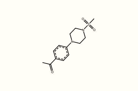 CC(=O)c1ccc(N2CCN(S(C)(=O)=O)CC2)cc1